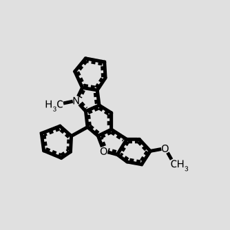 COc1ccc2oc3c(-c4ccccc4)c4c(cc3c2c1)c1ccccc1n4C